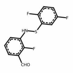 O=Cc1cccc(NSc2cc(F)ccc2F)c1F